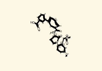 CO[C@@H]1CC[C@H](N2CC[C@H](NC(=O)c3cccc(-c4c[c]cc(C(=O)O)c4)c3)C2=O)[C@@H](CS(C)(=O)=O)C1